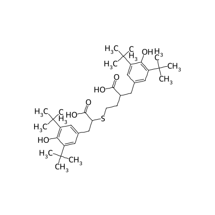 CC(C)(C)c1cc(CC(CCSC(Cc2cc(C(C)(C)C)c(O)c(C(C)(C)C)c2)C(=O)O)C(=O)O)cc(C(C)(C)C)c1O